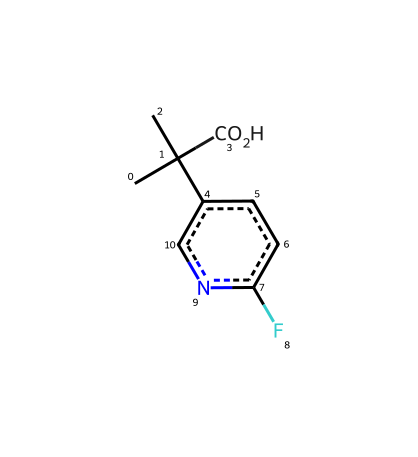 CC(C)(C(=O)O)c1ccc(F)nc1